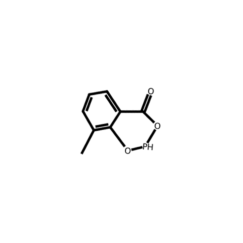 Cc1cccc2c1OPOC2=O